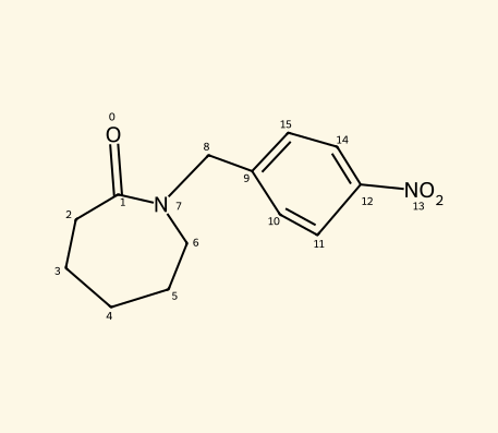 O=C1CCCCCN1Cc1ccc([N+](=O)[O-])cc1